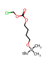 CC(C)(C)[Si](C)(C)OCCCCOC(=O)OCCl